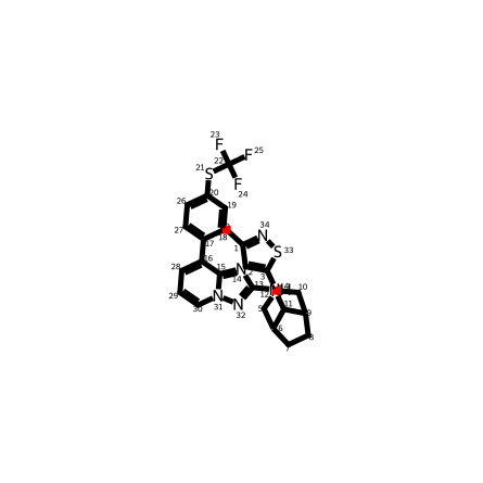 Cc1cc(N2CC3CCC(C2)C3Nc2nc3c(-c4ccc(SC(F)(F)F)cc4)cccn3n2)sn1